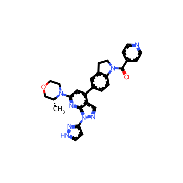 C[C@@H]1COCCN1c1cc(-c2ccc3c(c2)CCN3C(=O)c2ccncc2)c2cnn(-c3cc[nH]n3)c2n1